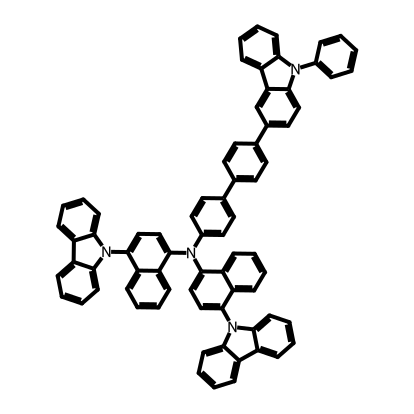 c1ccc(-n2c3ccccc3c3cc(-c4ccc(-c5ccc(N(c6ccc(-n7c8ccccc8c8ccccc87)c7ccccc67)c6ccc(-n7c8ccccc8c8ccccc87)c7ccccc67)cc5)cc4)ccc32)cc1